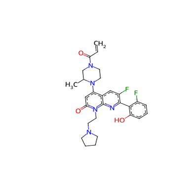 C=CC(=O)N1CCN(c2cc(=O)n(CCN3CCCC3)c3nc(-c4c(O)cccc4F)c(F)cc23)C(C)C1